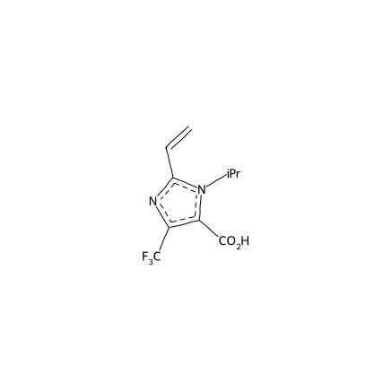 C=Cc1nc(C(F)(F)F)c(C(=O)O)n1C(C)C